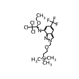 CCOC(=Nc1cc(C(F)(F)F)cc2cn(COCC[Si](C)(C)C)nc12)C(Cl)(Cl)Cl